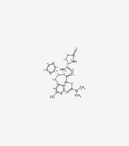 CN(C)C(=O)CN1C(=O)[C@@H](NC(=O)[C@@H]2CCC(=O)N2)[C@@H](c2ccccc2)Sc2cc(Cl)ccc21